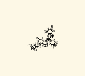 CC(C)CC(NC(=O)[C@@H]1CC(F)(F)CCN1S(=O)(=O)Cc1c(F)cc(F)cc1F)C(=O)NCc1cnn(C)c1